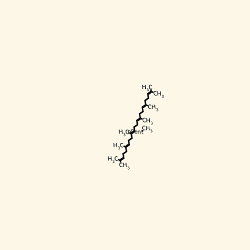 CC(C)=CCC/C(C)=C/CC/C(C)=C/CC/C=C(\C)CC/C=C(\C)CCC=C(C)C.CCCCCC